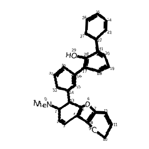 CNC1C=Cc2c(oc3c2CCC=C3)C1C1C=C(c2cccc(C3C=CC=CC3)c2O)C=CC1